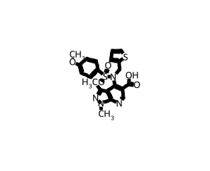 COc1ccc(S(=O)(=O)N(Cc2cccs2)c2c(C(=O)O)cnc3c2c(C)nn3C)cc1